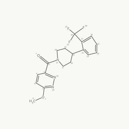 COc1ccc(C(=O)N2CCC(c3ccccc3C(F)(F)F)CC2)nn1